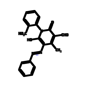 Cc1c(/N=N/c2ccccc2)c(O)n(-c2ccccc2C(=O)O)c(=O)c1C=O